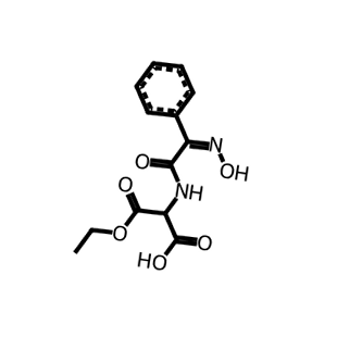 CCOC(=O)C(NC(=O)C(=NO)c1ccccc1)C(=O)O